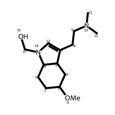 COC1CCC2C(C1)C(CCN(C)C)=CN2CO